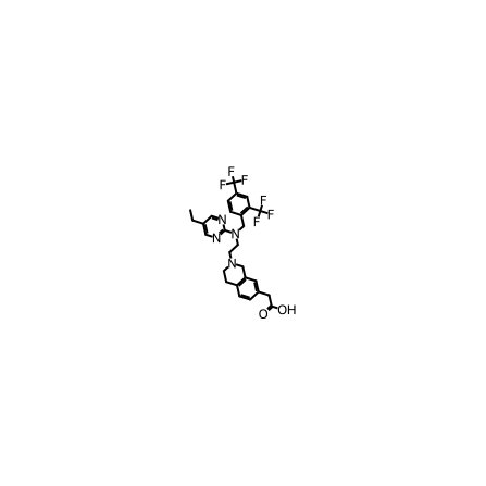 CCc1cnc(N(CCN2CCc3ccc(CC(=O)O)cc3C2)Cc2ccc(C(F)(F)F)cc2C(F)(F)F)nc1